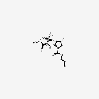 C=CCOC(=O)N1C[C@@H](C)C[C@H]1CN(C(=O)OC(C)(C)C)S(N)(=O)=O